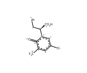 CC(C)C[C@@H](C(=O)O)n1nc(Cl)cc(C(F)(F)F)c1=O